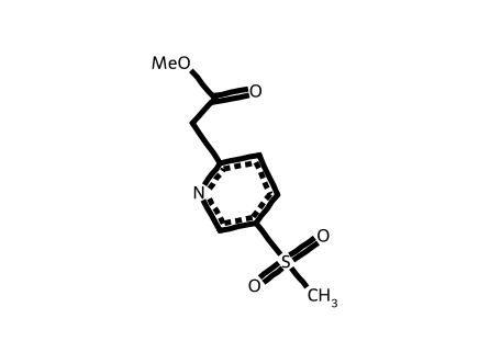 COC(=O)Cc1ccc(S(C)(=O)=O)cn1